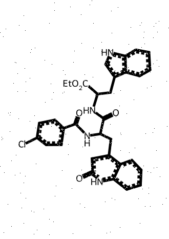 CCOC(=O)C(Cc1c[nH]c2ccccc12)NC(=O)C(Cc1cc(=O)[nH]c2ccccc12)NC(=O)c1ccc(Cl)cc1